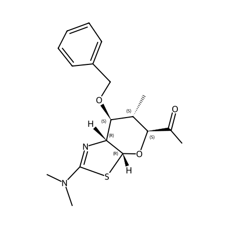 CC(=O)[C@H]1O[C@@H]2SC(N(C)C)=N[C@@H]2[C@@H](OCc2ccccc2)[C@@H]1C